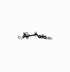 CCCCC1CCC(C(=O)Oc2ccc(C=CC(=O)OCCCCCCOC(=O)c3cc([N+](=O)[O-])cc([N+](=O)[O-])c3)cc2)CC1